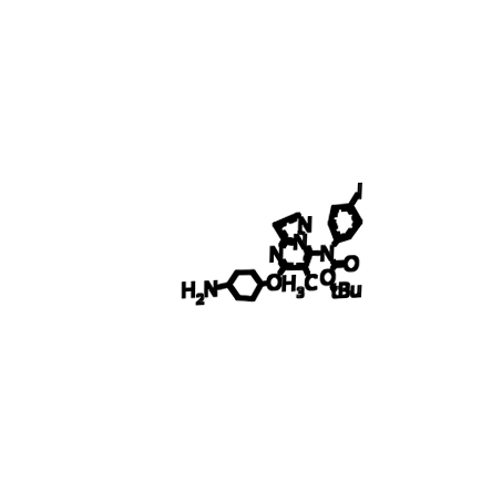 Cc1c(OC2CCC(N)CC2)nc2ccnn2c1N(C(=O)OC(C)(C)C)c1ccc(I)cc1